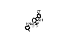 COc1ccc2[nH]c3c(c2c1)CCN(C(=O)Nc1cccc(C)c1)C3C(F)(F)F